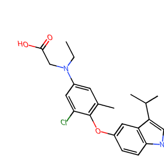 CCN(CC(=O)O)c1cc(C)c(Oc2ccc3[nH]cc(C(C)C)c3c2)c(Cl)c1